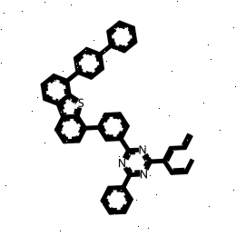 C=C/C=C(\C=C/C)c1nc(-c2ccccc2)nc(-c2cccc(-c3cccc4c3sc3c(-c5ccc(-c6ccccc6)cc5)cccc34)c2)n1